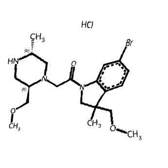 COC[C@H]1CN[C@H](C)CN1CC(=O)N1CC(C)(COC)c2ccc(Br)cc21.Cl